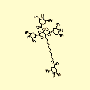 CC(C)C1CC(C(=O)OCCCCCCCCCCC(OC(=O)C2CC(C(C)C)NC(C(C)C)C2)C(OC(=O)C2CC(C(C)C)NC(C(C)C)C2)OC(=O)C2CC(C(C)C)NC(C(C)C)C2)CC(C(C)C)N1